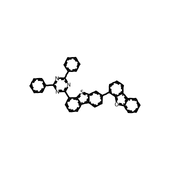 c1ccc(-c2nc(-c3ccccc3)nc(-c3cccc4c3sc3cc(-c5cccc6c5oc5ccccc56)ccc34)n2)cc1